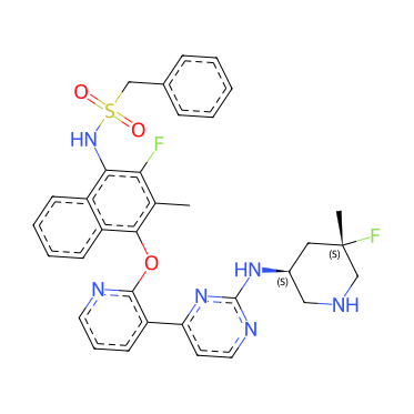 Cc1c(F)c(NS(=O)(=O)Cc2ccccc2)c2ccccc2c1Oc1ncccc1-c1ccnc(N[C@@H]2CNC[C@@](C)(F)C2)n1